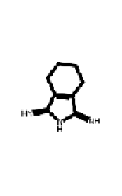 N=C1NC(=N)C2=C1CCCC2